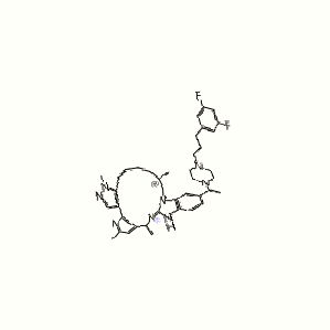 C=C1/N=C2\Nc3ccc(C(=C)N4CCN(CCCc5cc(F)cc(F)c5)CC4)cc3N2C[C@H](C)CCCCc2c(cnn2C)-c2cc1cc(C)n2